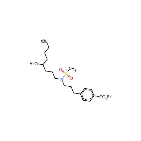 CCOC(=O)c1ccc(CCCN(CCCC(CCCC(C)(C)C)OC(C)=O)S(C)(=O)=O)cc1